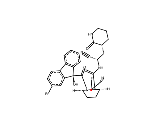 N#C[C@H](C[C@H]1CCCNC1=O)NC(=O)[C@H]1[C@H]2CC[C@H](CC2(F)F)N1C(=O)[C@@]1(O)c2ccccc2-c2ccc(Br)cc21